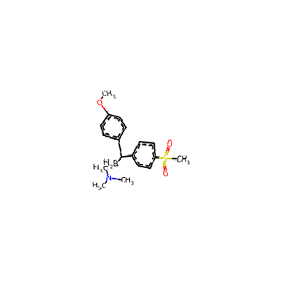 BC(c1ccc(OC)cc1)c1ccc(S(C)(=O)=O)cc1.CN(C)C